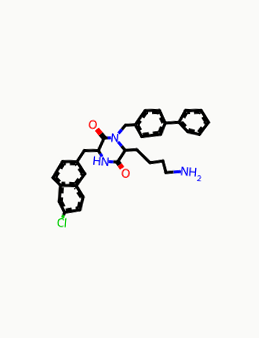 NCCCCC1C(=O)NC(Cc2ccc3cc(Cl)ccc3c2)C(=O)N1Cc1ccc(-c2ccccc2)cc1